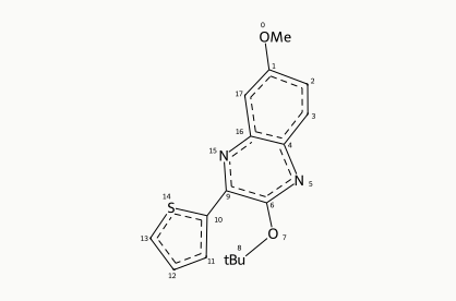 COc1ccc2nc(OC(C)(C)C)c(-c3cccs3)nc2c1